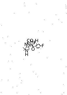 CC1(C)NCc2c1nn(C(=O)O)c2NC(=O)c1ccc(F)cc1F